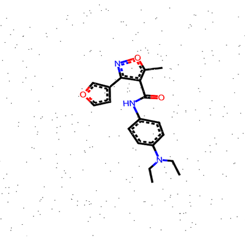 CCN(CC)c1ccc(NC(=O)c2c(-c3ccoc3)noc2C)cc1